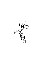 O=c1[nH]nc(Cc2ccc(F)c([PH]3(O)CCN(c4ncc(Cl)cn4)CC3)c2)c2ccccc12